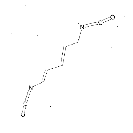 O=C=NC=CC=CCN=C=O